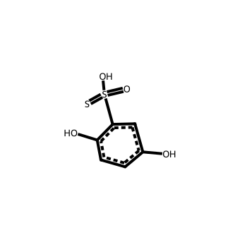 O=S(O)(=S)c1cc(O)ccc1O